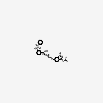 O=S(=O)(Nc1cccc([C@@H](O)CNCCOc2ccc3c(OC(F)F)n[nH]c3c2)c1)c1ccccc1